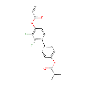 C=CC(=O)Oc1ccc(-c2ccc(OC(=O)C(C)C)cc2)c(F)c1F